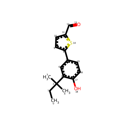 CCC(C)(C)c1cc(-c2ccc(C=O)s2)ccc1O